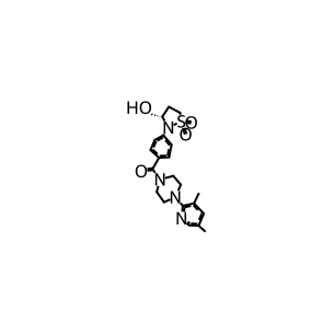 Cc1cnc(N2CCN(C(=O)c3ccc(N4[C@H](CO)CCS4(=O)=O)cc3)CC2)c(C)c1